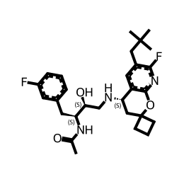 CC(=O)N[C@@H](Cc1cccc(F)c1)[C@@H](O)CN[C@H]1CC2(CCC2)Oc2nc(F)c(CC(C)(C)C)cc21